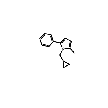 Cc1ccc(-c2ccccc2)n1CC1CC1